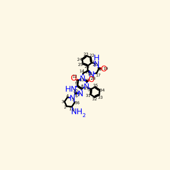 NC1CCCN(c2nc3c([nH]2)c(=O)n(CC2=NCC(=O)Nc4ccccc42)c(=O)n3-c2ccccc2)C1